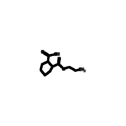 CCCOC(=O)C1CCCCC1C(=O)O